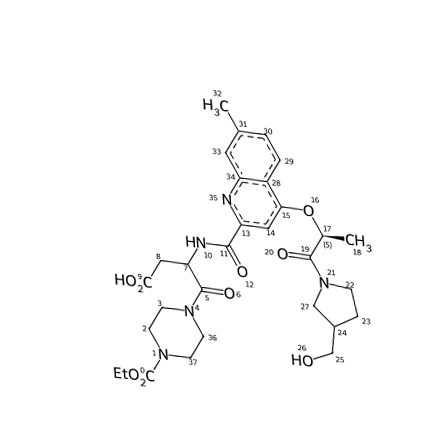 CCOC(=O)N1CCN(C(=O)C(CC(=O)O)NC(=O)c2cc(O[C@@H](C)C(=O)N3CCC(CO)C3)c3ccc(C)cc3n2)CC1